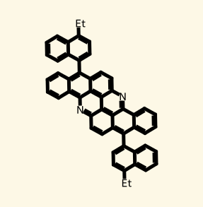 CCc1ccc(-c2c3ccccc3c3nc4ccc5c(-c6ccc(CC)c7ccccc67)c6ccccc6c6nc7ccc2c3c7c4c56)c2ccccc12